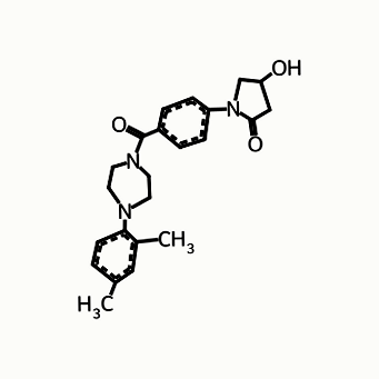 Cc1ccc(N2CCN(C(=O)c3ccc(N4CC(O)CC4=O)cc3)CC2)c(C)c1